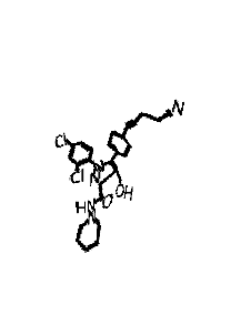 N#CCCC#Cc1ccc(-c2c(CO)c(C(=O)NN3CCCCC3)nn2-c2ccc(Cl)cc2Cl)cc1